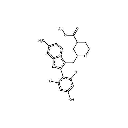 Cc1ccn2c(CC3CN(C(=O)OC(C)(C)C)CCO3)c(-c3c(F)cc(O)cc3F)nc2c1